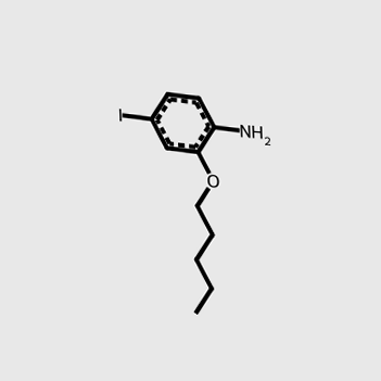 CCCCCOc1cc(I)ccc1N